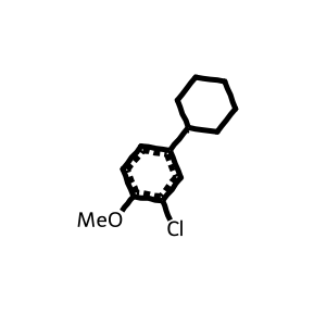 COc1ccc([C]2CCCCC2)cc1Cl